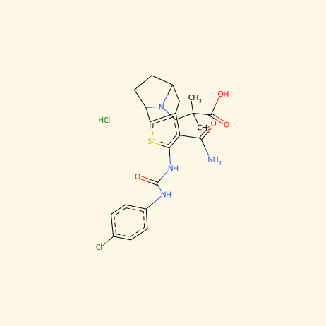 CC(C)(CN1C2CCC1c1sc(NC(=O)Nc3ccc(Cl)cc3)c(C(N)=O)c1C2)C(=O)O.Cl